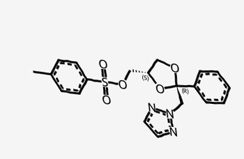 Cc1ccc(S(=O)(=O)OC[C@@H]2CO[C@](Cn3nccn3)(c3ccccc3)O2)cc1